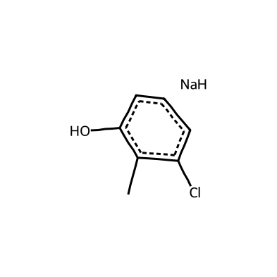 Cc1c(O)cccc1Cl.[NaH]